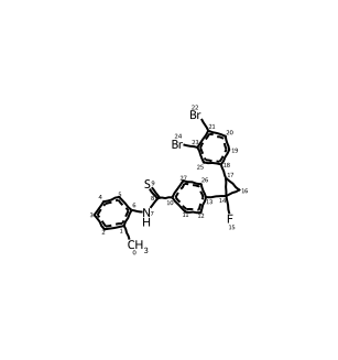 Cc1ccccc1NC(=S)c1ccc(C2(F)CC2c2ccc(Br)c(Br)c2)cc1